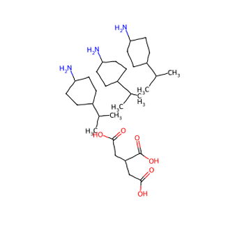 CC(C)C1CCC(N)CC1.CC(C)C1CCC(N)CC1.CC(C)C1CCC(N)CC1.O=C(O)CC(CC(=O)O)C(=O)O